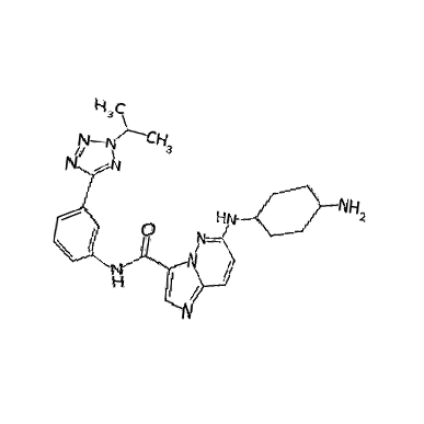 CC(C)n1nnc(-c2cccc(NC(=O)c3cnc4ccc(NC5CCC(N)CC5)nn34)c2)n1